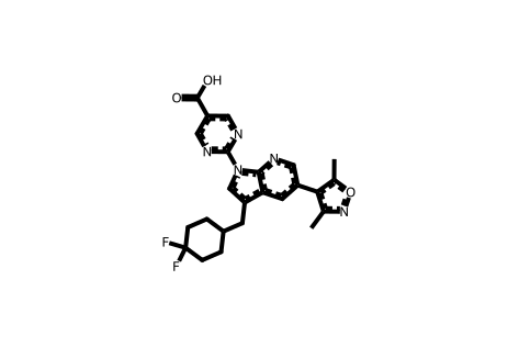 Cc1noc(C)c1-c1cnc2c(c1)c(CC1CCC(F)(F)CC1)cn2-c1ncc(C(=O)O)cn1